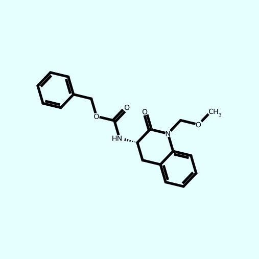 COCN1C(=O)[C@@H](NC(=O)OCc2ccccc2)Cc2ccccc21